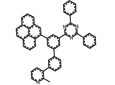 Cc1ncccc1-c1cccc(-c2cc(-c3nc(-c4ccccc4)nc(-c4ccccc4)n3)cc(-c3cc4cccc5ccc6cccc3c6c54)c2)c1